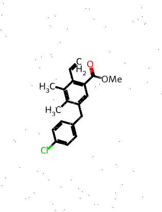 C=Cc1c(C(=O)OC)cc(Cc2ccc(Cl)cc2)c(C)c1C